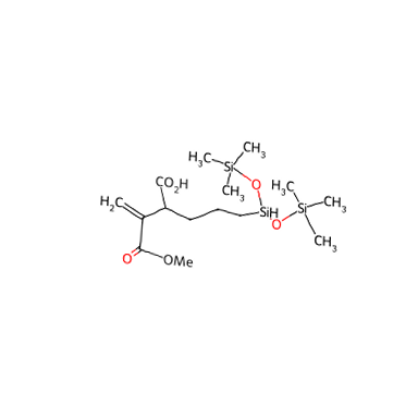 C=C(C(=O)OC)C(CCC[SiH](O[Si](C)(C)C)O[Si](C)(C)C)C(=O)O